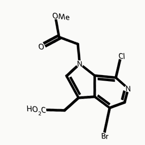 COC(=O)Cn1cc(CC(=O)O)c2c(Br)cnc(Cl)c21